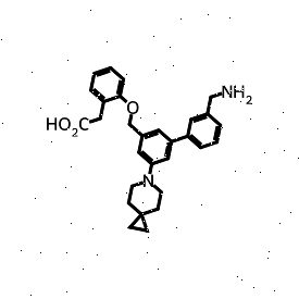 NCc1cccc(-c2cc(COc3ccccc3CC(=O)O)cc(N3CCC4(CC3)CC4)c2)c1